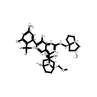 COC[C@@]12CC[C@@H](CN(c3nc(OC[C@@]45CCCN4C[C@H](F)C5)nc4c(F)c(-c5cc(N)cc(Cl)c5C(F)(F)F)ncc34)C1)N2C(=O)O